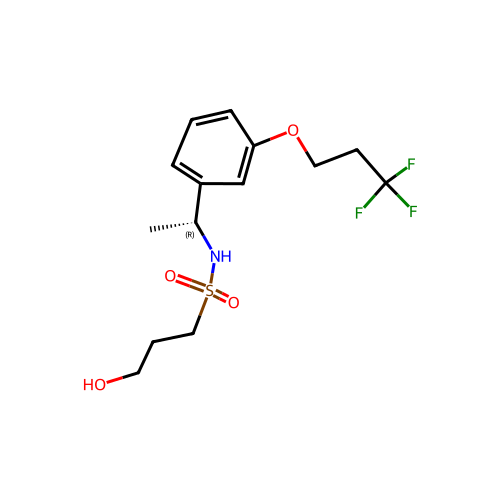 C[C@@H](NS(=O)(=O)CCCO)c1cccc(OCCC(F)(F)F)c1